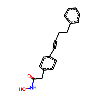 O=C(Cc1ccc(C#CCCc2ccccc2)cc1)NO